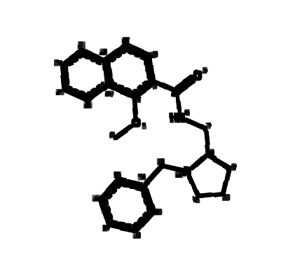 COc1c(C(=O)NCC2CCCN2Cc2ccccc2)ccc2ccccc12